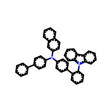 c1ccc(-c2ccc(N(c3ccc(-c4ccccc4-n4c5ccccc5c5ccccc54)cc3)c3ccc4ccccc4c3)cc2)cc1